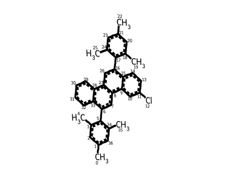 Cc1cc(C)c(-c2cc3c4cc(Cl)ccc4c(-c4c(C)cc(C)cc4C)cc3c3ccccc23)c(C)c1